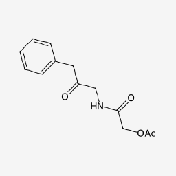 CC(=O)OCC(=O)NCC(=O)Cc1ccccc1